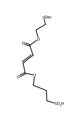 CCCCCCCCCCCCOC(=O)C=CC(=O)OCCCS(=O)(=O)O